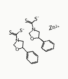 S=C([S-])N1COC(c2ccccc2)C1.S=C([S-])N1COC(c2ccccc2)C1.[Zn+2]